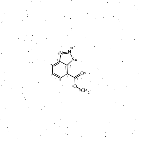 [CH2]OC(=O)c1cccc2nnsc12